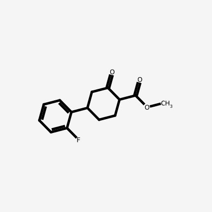 COC(=O)C1CCC(c2ccccc2F)CC1=O